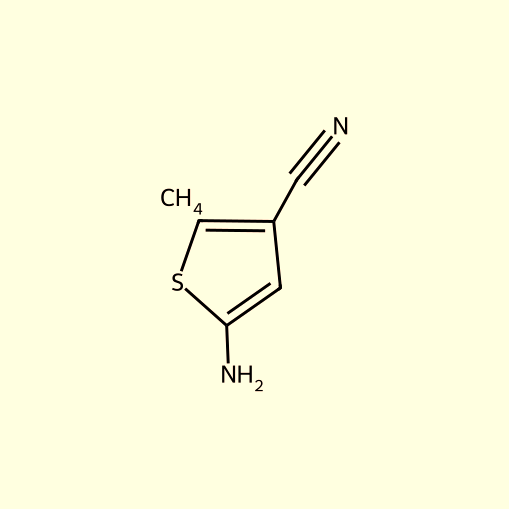 C.N#Cc1csc(N)c1